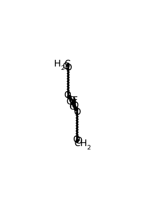 C=CC(=O)OCCCCCCCCCCCCCCCCCCCCOc1ccc(C(=O)Oc2cc(F)c(OC(=O)c3ccc(OCCCCCCCCCCCCCCCCCCCCOC(=O)C=C)cc3)cc2F)cc1